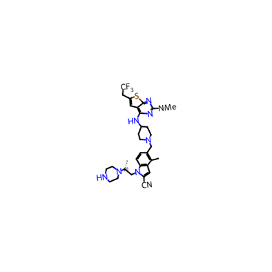 CNc1nc(NC2CCN(Cc3ccc4c(cc(C#N)n4C[C@@H](C)N4CCNCC4)c3C)CC2)c2cc(CC(F)(F)F)sc2n1